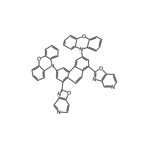 c1ccc2c(c1)Oc1ccccc1N2c1cc(-c2nc3cnccc3o2)c2ccc3c(-c4nc5cnccc5o4)cc(N4c5ccccc5Oc5ccccc54)cc3c2c1